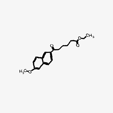 CCOC(=O)CCCCC(=O)c1ccc2cc(OC)ccc2c1